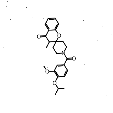 COc1cc(C(=O)N2CCC3(CC2)Oc2ccccc2C(=O)C3C)ccc1OC(C)C